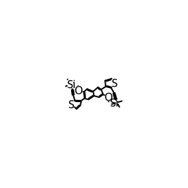 COc1cc2cc(-c3ccsc3C#C[Si](C)(C)C)c(OC)cc2cc1-c1ccsc1C#C[Si](C)(C)C